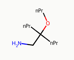 CCCOC(CN)(CCC)CCC